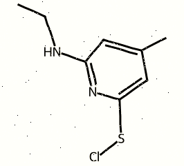 CCNc1cc(C)cc(SCl)n1